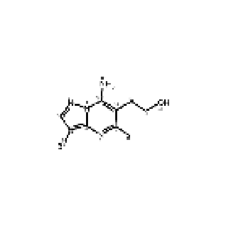 Cc1nc2c(Br)cnn2c(N)c1CCO